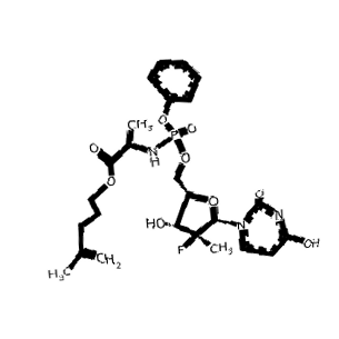 C=C(C)CCCOC(=O)C(C)NP(=O)(OC[C@H]1O[C@@H](n2ccc(O)nc2=O)[C@](C)(F)[C@@H]1O)Oc1ccccc1